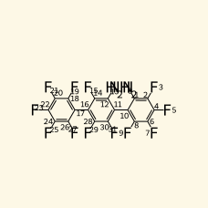 Nc1c(F)c(F)c(F)c(F)c1-c1c(N)c(F)c(-c2c(F)c(F)c(F)c(F)c2F)c(F)c1F